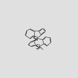 C[Si]1(C)c2ccccc2[Si]2(c3ccccc3-c3ccccc32)c2ccccc21